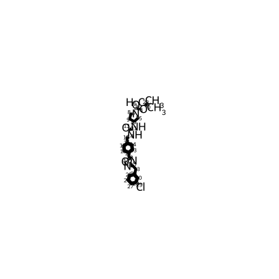 CC(C)(C)OC(=O)N1CCC(NC(=O)NCc2ccc(-c3nc(Cc4cccc(Cl)c4)no3)cc2)C1